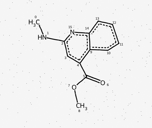 CNc1cc(C(=O)OC)c2ccccc2n1